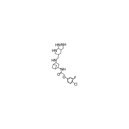 O=C(COc1ccc(Cl)c(F)c1)NC1CC(NCC2CNC3NNCC3C2)C2CC1C2